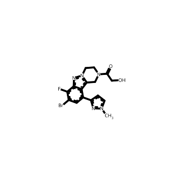 Cn1ccc(-c2cc(Br)c(F)c3nn4c(c23)CN(C(=O)CO)CC4)n1